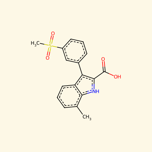 Cc1cccc2c(-c3cccc(S(C)(=O)=O)c3)c(C(=O)O)[nH]c12